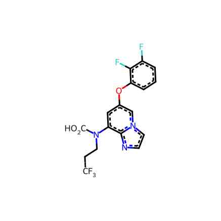 O=C(O)N(CCC(F)(F)F)c1cc(Oc2cccc(F)c2F)cn2ccnc12